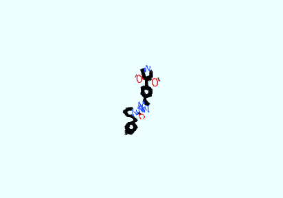 COc1cncc(OC)c1-c1ccc(-c2cnn(C(=O)N3CCCCC3Cc3ccccc3)n2)cc1